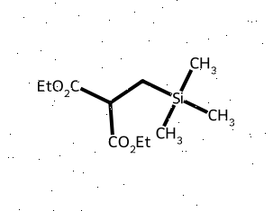 CCOC(=O)C(C[Si](C)(C)C)C(=O)OCC